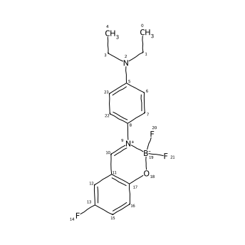 CCN(CC)c1ccc([N+]2=Cc3cc(F)ccc3O[B-]2(F)F)cc1